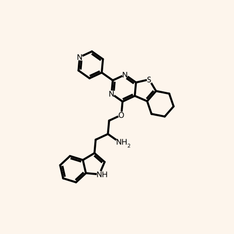 NC(COc1nc(-c2ccncc2)nc2sc3c(c12)CCCC3)Cc1c[nH]c2ccccc12